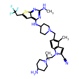 CNc1nc(NC2CCN(Cc3ccc4c(cc(C#N)n4C[C@H](C)N4CCC(N)CC4)c3C)CC2)c2cc(CC(F)(F)F)sc2n1